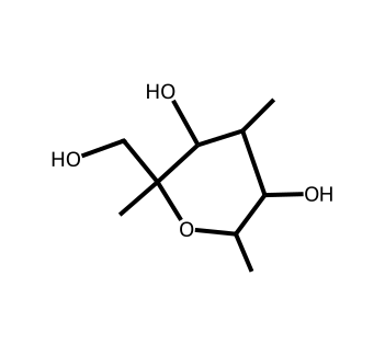 CC1OC(C)(CO)C(O)C(C)C1O